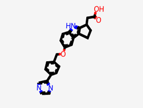 O=C(O)CC1CCc2c1[nH]c1ccc(OCc3ccc(-c4cnccn4)cc3)cc21